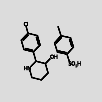 Cc1ccc(S(=O)(=O)O)cc1.OC1CCCNC1c1ccc(Cl)cc1